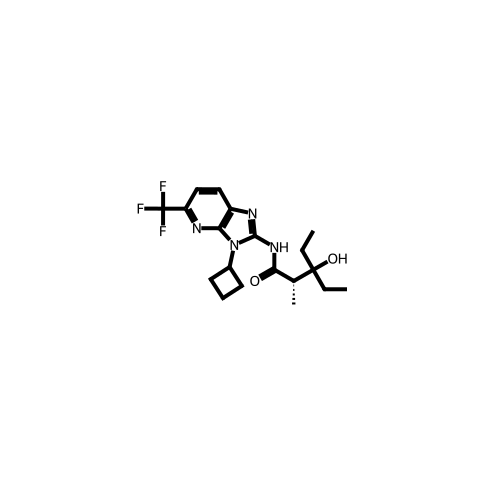 CCC(O)(CC)[C@H](C)C(=O)Nc1nc2ccc(C(F)(F)F)nc2n1C1CCC1